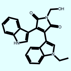 CCn1cc(C2=C(c3c[nH]c4ccccc34)C(=O)N(CO)C2=O)c2ccccc21